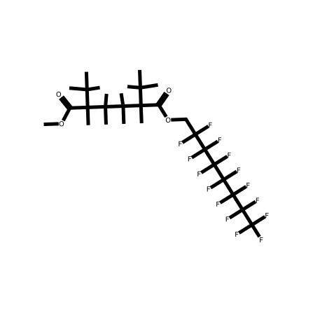 COC(=O)C(C)(C(C)(C)C)C(C)(C)C(C)(C)C(C)(C(=O)OCC(F)(F)C(F)(F)C(F)(F)C(F)(F)C(F)(F)C(F)(F)C(F)(F)F)C(C)(C)C